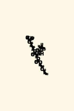 CCCOCCOC(=O)OCC(NC(=O)OC(C)(C)C)C(=O)OCCCCO[N+](=O)[O-]